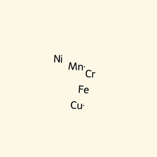 [Cr].[Cu].[Fe].[Mn].[Ni]